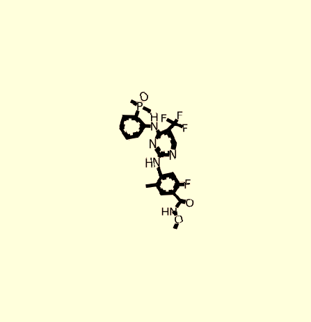 CONC(=O)c1cc(C)c(Nc2ncc(C(F)(F)F)c(Nc3ccccc3P(C)(C)=O)n2)cc1F